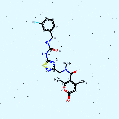 Cc1cc(=O)oc(C)c1C(=O)N(C)Cc1nsc(NC(=O)NCc2cccc(F)c2)n1